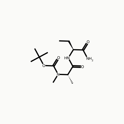 CC[C@H](NC(=O)[C@H](C)N(C)C(=O)OC(C)(C)C)C(N)=O